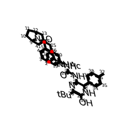 CC(=O)Nc1cccc(C(=O)N2C3CCC2CC(Cc2cccc(NC(=O)NC4=NC(C(C)(C)C)=C(O)NC4c4ccc(C)cc4)c2)C3)c1